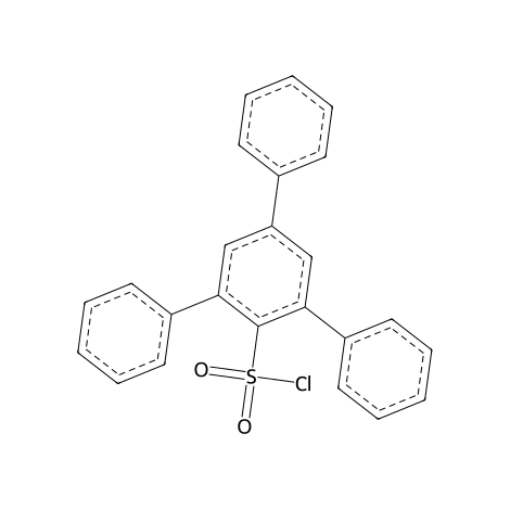 O=S(=O)(Cl)c1c(-c2ccccc2)cc(-c2ccccc2)cc1-c1ccccc1